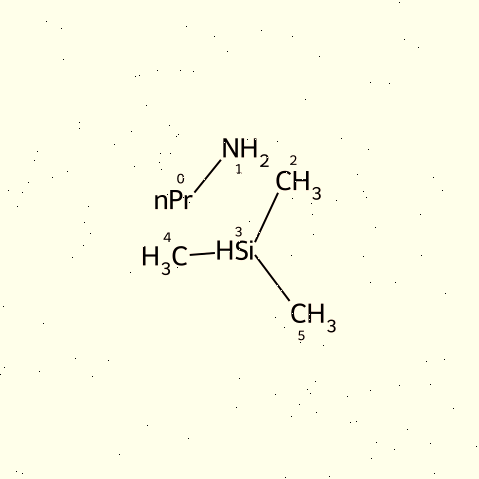 CCCN.C[SiH](C)C